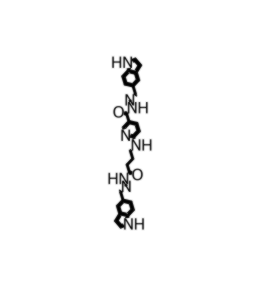 O=C(CCCNc1ccc(C(=O)N/N=C/c2ccc3[nH]ccc3c2)cn1)N/N=C/c1ccc2[nH]ccc2c1